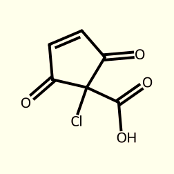 O=C(O)C1(Cl)C(=O)C=CC1=O